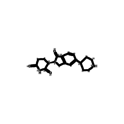 O=C1CC[C@@H](N2Cc3cc(C4CCNCC4)ccc3C2=O)C(=O)N1